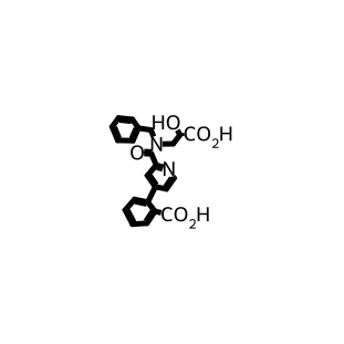 O=C(O)c1ccccc1-c1ccnc(C(=O)N(Cc2ccccc2)C[C@@H](O)C(=O)O)c1